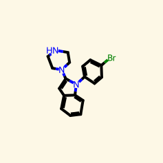 Brc1ccc(-n2c(N3CCNCC3)cc3ccccc32)cc1